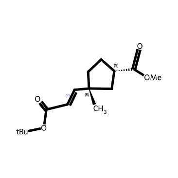 COC(=O)[C@H]1CC[C@@](C)(/C=C/C(=O)OC(C)(C)C)C1